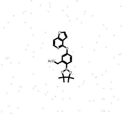 CC(=O)OCc1cc(Oc2nccc3occc23)ccc1B1OC(C)(C)C(C)(C)O1